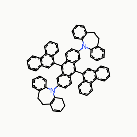 C1=CC2=C(CC1)N(c1ccc3c(-c4cc5ccccc5c5ccccc45)c4cc(N5c6ccccc6CCc6ccccc65)ccc4c(-c4cc5ccccc5c5ccccc45)c3c1)c1ccccc1CC2